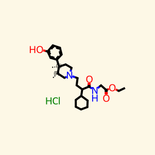 CCOC(=O)CNC(=O)C(CCN1CC[C@](C)(c2cccc(O)c2)[C@@H](C)C1)C1CCCCC1.Cl